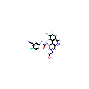 CN(C(=O)Nc1ccc(F)c(C#N)c1)[C@H]1CN(CCO)Cc2[nH]c(=O)c3cc(F)c(F)cc3c21